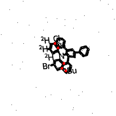 [2H]c1c([2H])c(Cl)c([2H])c(N(c2cc(Br)cc(C(C)(C)C)c2)c2c(-c3ccccc3)cc(-c3ccccc3)cc2-c2ccccc2)c1[2H]